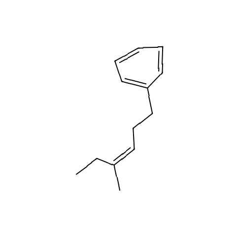 CCC(C)=CCCc1ccccc1